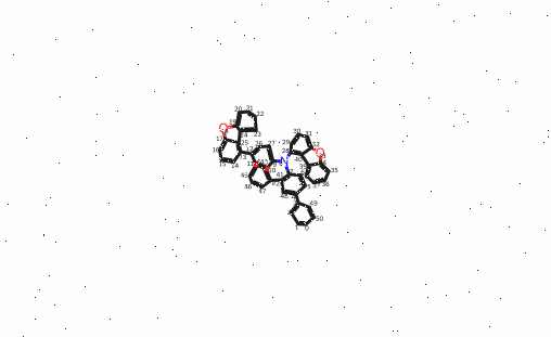 c1ccc(-c2ccc(N(c3ccc(-c4cccc5oc6ccccc6c45)cc3)c3cccc4oc5ccccc5c34)c(-c3ccccc3)c2)cc1